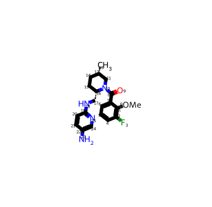 COc1c(F)cccc1C(=O)N1C[C@@H](C)CC[C@H]1CNc1ccc(N)cn1